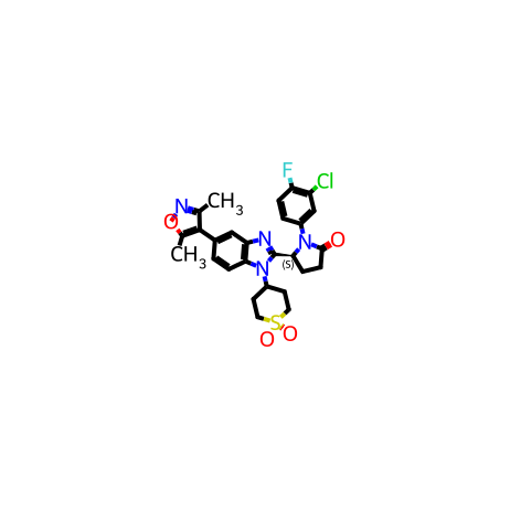 Cc1noc(C)c1-c1ccc2c(c1)nc([C@@H]1CCC(=O)N1c1ccc(F)c(Cl)c1)n2C1CCS(=O)(=O)CC1